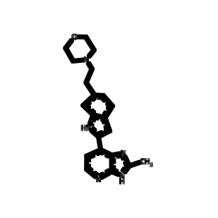 Cc1nc2c(-c3cc4ccc(CCN5CCOCC5)cc4[nH]3)ccnc2[nH]1